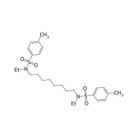 CCN(CCCCCCCCN(CC)S(=O)(=O)c1ccc(C)cc1)S(=O)(=O)c1ccc(C)cc1